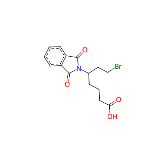 O=C(O)CCCC(CCBr)N1C(=O)c2ccccc2C1=O